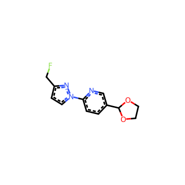 FCc1ccn(-c2ccc(C3OCCO3)cn2)n1